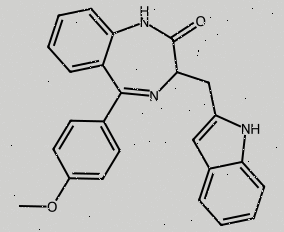 COc1ccc(C2=NC(Cc3cc4ccccc4[nH]3)C(=O)Nc3ccccc32)cc1